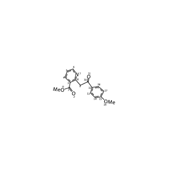 COC(=O)c1cccnc1CC(=O)c1ccc(OC)cc1